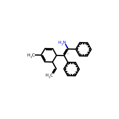 C=CC1C=C(C)C=CC1/C(=C(\N)c1ccccc1)c1ccccc1